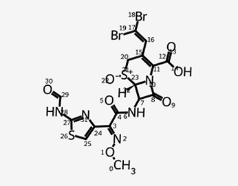 CON=C(C(=O)NC1C(=O)N2C(C(=O)O)=C(C=C(Br)Br)C[S+]([O-])[C@@H]12)c1csc(NC=O)n1